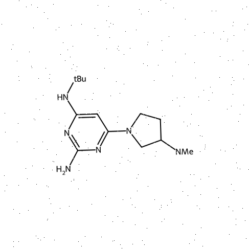 CNC1CCN(c2cc(NC(C)(C)C)nc(N)n2)C1